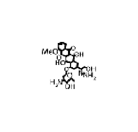 COc1cccc2c1C(=O)c1c(O)c3c(c(O)c1C2=O)CC(/C(CO)=N/N)C[C@H]3OC1CC(N)C(O)C(C)O1